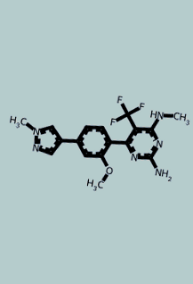 CNc1nc(N)nc(-c2ccc(-c3cnn(C)c3)cc2OC)c1C(F)(F)F